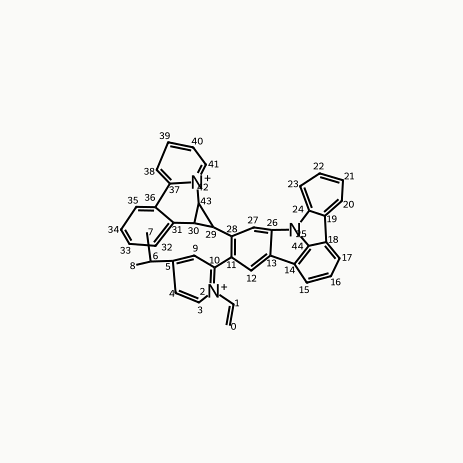 C=C[n+]1ccc(C(C)C)cc1-c1cc2c3cccc4c5ccccc5n(c2cc1C1C2c5ccccc5-c5cccc[n+]5C12)c43